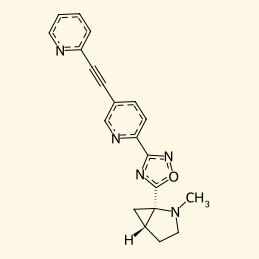 CN1CC[C@@H]2C[C@]21c1nc(-c2ccc(C#Cc3ccccn3)cn2)no1